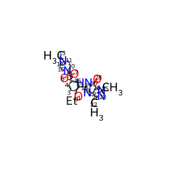 CCOc1ccc(S(=O)(=O)N2CCN(C)CC2)cc1C1=NC2C(C)=NN(C)C2C(=O)N1